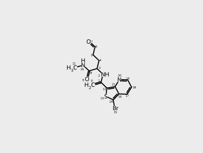 C=C(NC(CCC=O)C(=O)NC)c1sc(Br)c2cccnc12